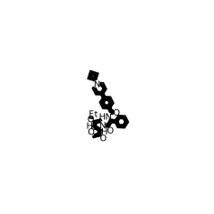 CCO[C@H]1CN(C(=O)[C@@H](NC(=O)c2ccc(C3CCN(C4CCC4)CC3)cc2)C2CCCCC2)[C@@H]2C(=O)CO[C@H]12